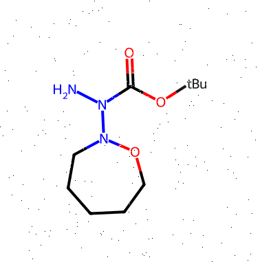 CC(C)(C)OC(=O)N(N)N1CCCCCO1